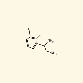 NCC(N)c1cccc(F)c1F